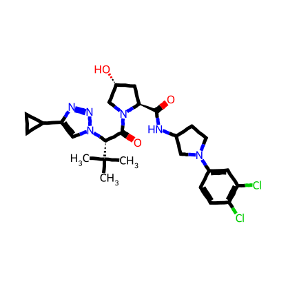 CC(C)(C)[C@@H](C(=O)N1C[C@H](O)C[C@H]1C(=O)NC1CCN(c2ccc(Cl)c(Cl)c2)C1)n1cc(C2CC2)nn1